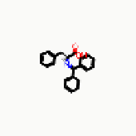 O=C(O)[C@H](Cc1ccccc1)N=C(c1ccccc1)c1ccccc1